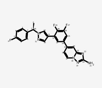 C[C@H](c1ccc(F)cc1)n1cc(-c2cc(-c3ccn4nc(N)nc4c3)cc(F)c2F)cn1